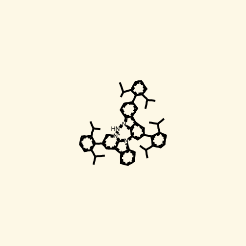 CC(C)c1cccc(C(C)C)c1-c1ccc2c(c1)c1cc(-c3c(C(C)C)cccc3C(C)C)cc3c1n2[nH][n+]1cc(-c2c(C(C)C)cccc2C(C)C)cc2c4ccccc4n3c21